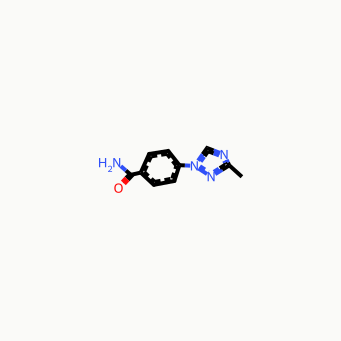 Cc1ncn(-c2ccc(C(N)=O)cc2)n1